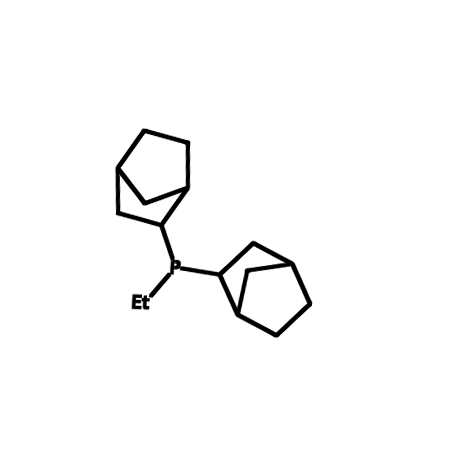 CCP(C1CC2CCC1C2)C1CC2CCC1C2